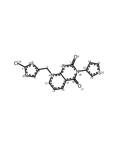 O=c1nc2n(Cc3cnc(Cl)s3)cccc-2c(=O)n1-c1ccsc1